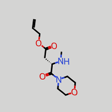 C=CCOC(=O)C[C@H](NC)C(=O)N1CCOCC1